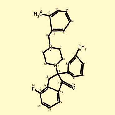 Cc1cccc(C2(N3CCN(Cc4ccccc4C)CC3)Cc3c(F)cccc3C2=O)c1